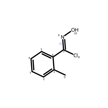 Cc1ccccc1/C(Cl)=N/O